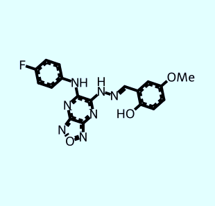 COc1ccc(O)c(C=NNc2nc3nonc3nc2Nc2ccc(F)cc2)c1